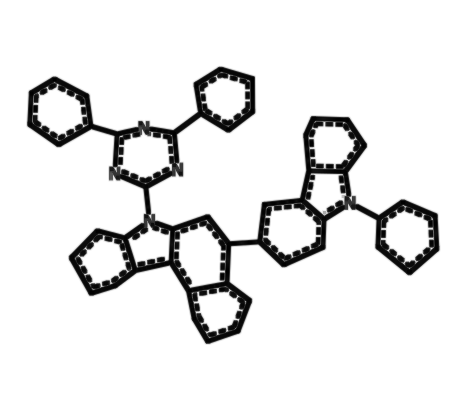 c1ccc(-c2nc(-c3ccccc3)nc(-n3c4ccccc4c4c5ccccc5c(-c5ccc6c(c5)c5ccccc5n6-c5ccccc5)cc43)n2)cc1